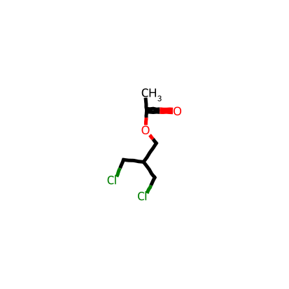 CC(=O)OCC(CCl)CCl